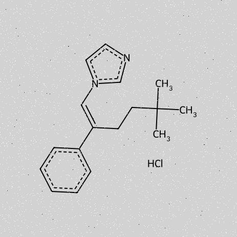 CC(C)(C)CCC(=Cn1ccnc1)c1ccccc1.Cl